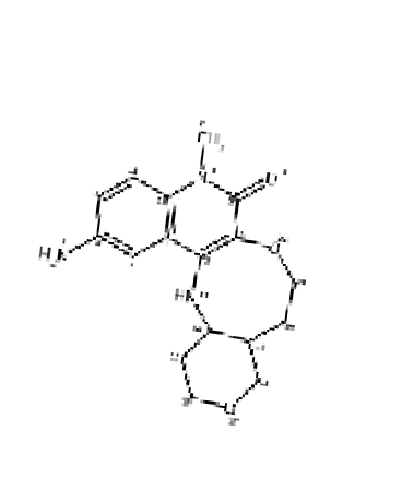 Cn1c(=O)c2c(c3cc(N)ccc31)NC1CCOCC1CCO2